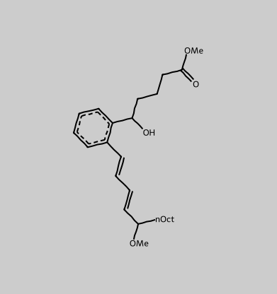 CCCCCCCCC(/C=C/C=C/c1ccccc1C(O)CCCC(=O)OC)OC